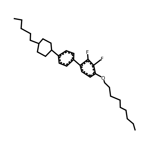 CCCCCCCCCOc1ccc(-c2ccc(C3CCC(CCCCC)CC3)cc2)c(F)c1F